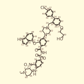 CN1CCC(Nc2ccc(S(=O)(=O)NC(=O)c3ccc(N4CCN(Cc5cc(OCCO)ccc5-c5ccc(Cl)cc5)CC4)cc3Oc3cccc4[nH]ccc34)cc2[N+](=O)[O-])CC1